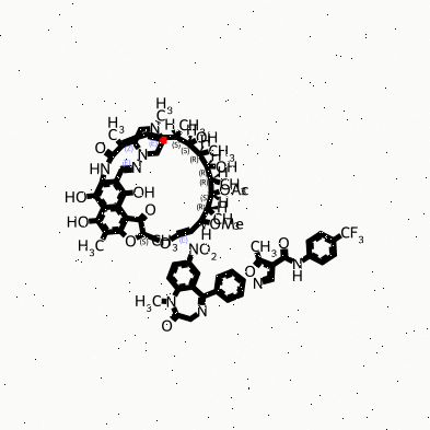 CN1C(=O)CN=C(c2ccccc2)c2cc([N+](=O)[O-])ccc21.CO[C@H]1/C=C/O[C@@]2(C)Oc3c(C)c(O)c4c(O)c(c(/C=N/N5CCN(C)CC5)c(O)c4c3C2=O)NC(=O)/C(C)=C\C=C\[C@H](C)[C@H](O)[C@@H](C)[C@@H](O)[C@@H](C)[C@H](OC(C)=O)[C@@H]1C.Cc1oncc1C(=O)Nc1ccc(C(F)(F)F)cc1